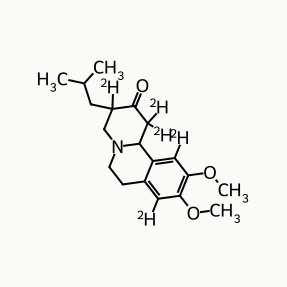 [2H]c1c2c(c([2H])c(OC)c1OC)C1N(CC2)CC([2H])(CC(C)C)C(=O)C1([2H])[2H]